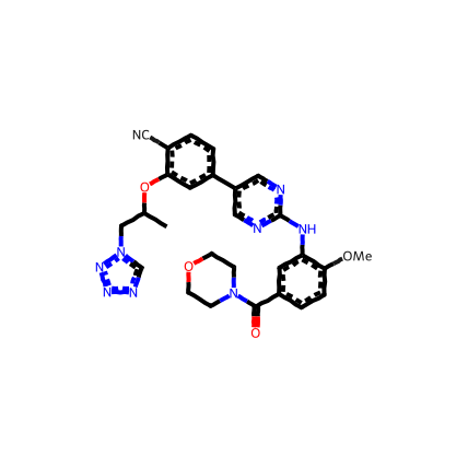 COc1ccc(C(=O)N2CCOCC2)cc1Nc1ncc(-c2ccc(C#N)c(OC(C)Cn3cnnn3)c2)cn1